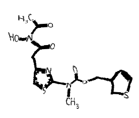 CC(=O)N(O)C(=O)Cc1csc(N(C)C(=O)OCC2C=CSC2)n1